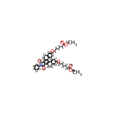 CCOC(=O)CCCCCOc1ccc2c(c1)CCc1c3c(c4c(c1-2)-c1ccc(OCCCCCC(=O)OCC)cc1CC4)C(=O)N(c1ccccc1)C3=O